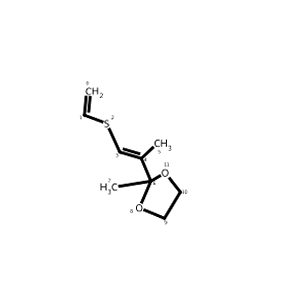 C=CS/C=C(\C)C1(C)OCCO1